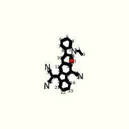 CCn1c2ccccc2c2cc(C=C3C(=C(C#N)C#N)c4ccccc4C3=C(C#N)C#N)ccc21